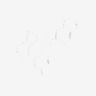 O=S(=O)(c1ccc2cnccc2c1)N(c1nccs1)c1ccc(F)cc1-c1ccncc1